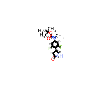 CN(C(=O)OC(C)(C)C)c1cc(F)c([C@@H]2CNC(=O)C2)c(F)c1